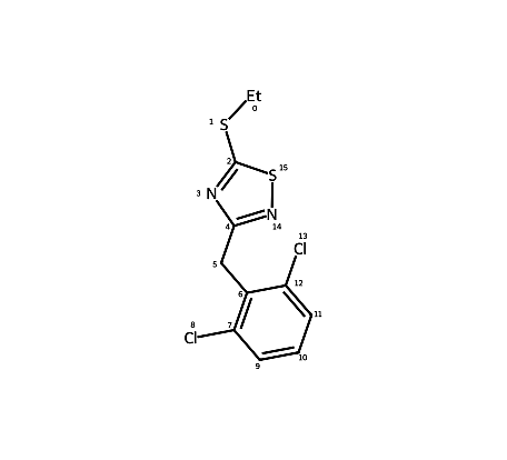 CCSc1nc(Cc2c(Cl)cccc2Cl)ns1